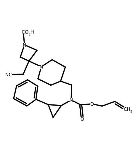 C=CCOC(=O)N(CC1CCN(C2(CC#N)CN(C(=O)O)C2)CC1)C1CC1c1ccccc1